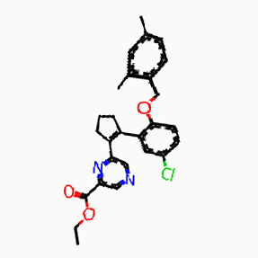 CCOC(=O)c1cncc(C2=C(c3cc(Cl)ccc3OCc3ccc(C)cc3C)CCC2)n1